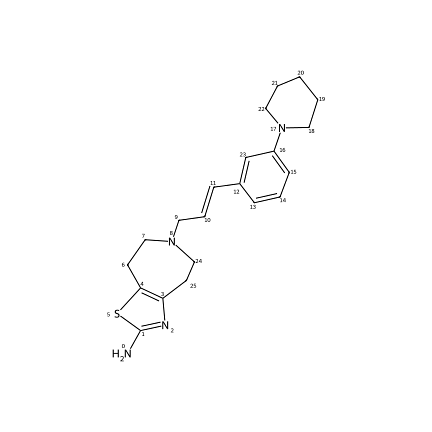 Nc1nc2c(s1)CCN(CC=Cc1cccc(N3CCCCC3)c1)CC2